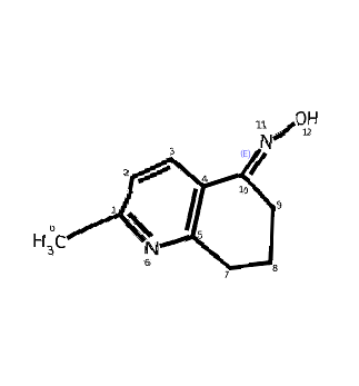 Cc1ccc2c(n1)CCC/C2=N\O